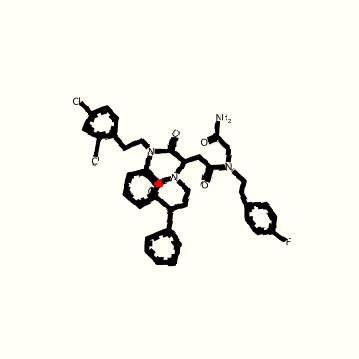 NC(=O)CN(CCc1ccc(F)cc1)C(=O)CC1C(=O)N(CCc2ccc(Cl)cc2Cl)CC(=O)N1CCC(c1ccccc1)c1ccccc1